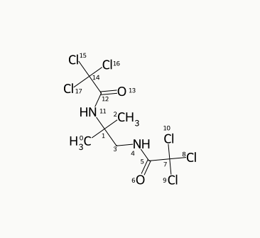 CC(C)(CNC(=O)C(Cl)(Cl)Cl)NC(=O)C(Cl)(Cl)Cl